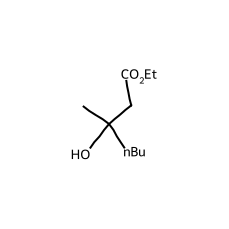 CCCCC(C)(O)CC(=O)OCC